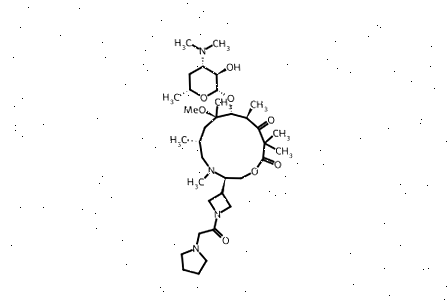 CO[C@]1(C)C[C@@H](C)CN(C)[C@H](C2CN(C(=O)CN3CCCC3)C2)COC(=O)C(C)(C)C(=O)[C@H](C)[C@H]1O[C@@H]1O[C@H](C)C[C@H](N(C)C)[C@H]1O